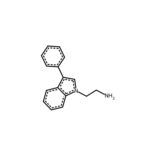 NCCn1cc(-c2ccccc2)c2ccccc21